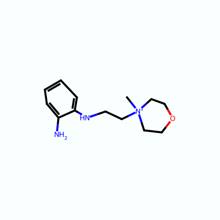 C[N+]1(CCNc2ccccc2N)CCOCC1